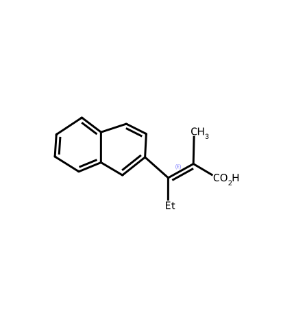 CC/C(=C(/C)C(=O)O)c1ccc2ccccc2c1